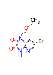 CCOCCn1c(=O)c(=O)[nH]c2ncc(Br)cc21